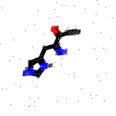 COC(=O)C(=N)Cc1c[nH]cn1